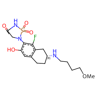 COCCCCN[C@@H]1CCc2cc(O)c(N3CC(=O)NS3(=O)=O)c(F)c2C1